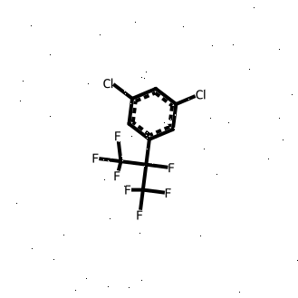 FC(F)(F)C(F)(c1cc(Cl)cc(Cl)c1)C(F)(F)F